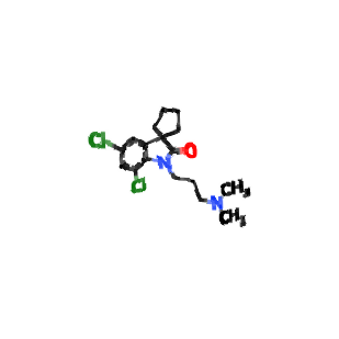 CN(C)CCCN1C(=O)C2(CCCC2)c2cc(Cl)cc(Cl)c21